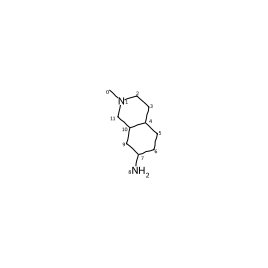 CN1CCC2CCC(N)CC2C1